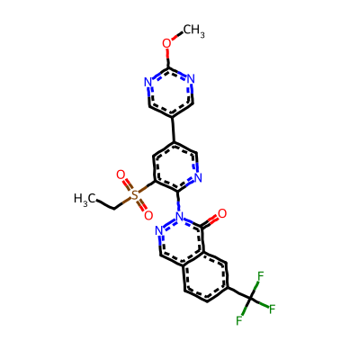 CCS(=O)(=O)c1cc(-c2cnc(OC)nc2)cnc1-n1ncc2ccc(C(F)(F)F)cc2c1=O